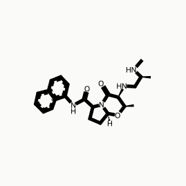 CN[C@@H](C)CN[C@@H]1C(=O)N2C(C(=O)Nc3cccc4ccccc34)CC[C@@H]2O[C@@H]1C